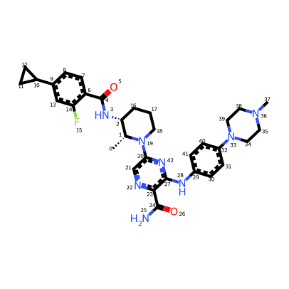 C[C@@H]1[C@H](NC(=O)c2ccc(C3CC3)cc2F)CCCN1c1cnc(C(N)=O)c(Nc2ccc(N3CCN(C)CC3)cc2)n1